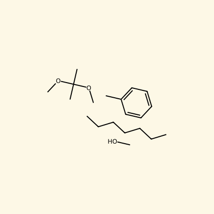 CCCCCCC.CO.COC(C)(C)OC.Cc1ccccc1